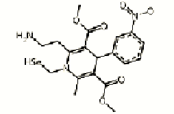 COC(=O)C1=C(C)N(C[SeH])C(CCN)=C(C(=O)OC)C1c1cccc([N+](=O)[O-])c1